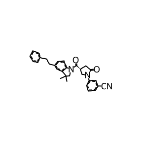 CC1(C)CN(C(=O)[C@H]2CC(=O)N(c3cccc(C#N)c3)C2)c2ccc(CCc3ccccc3)cc21